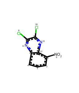 O=[N+]([O-])c1cccc2nc(Cl)c(Cl)nc12